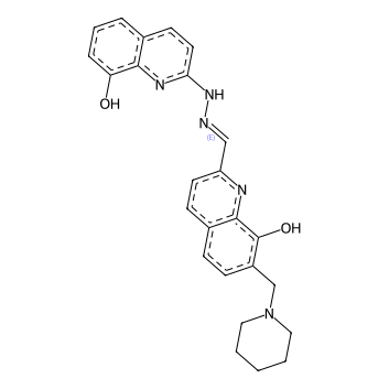 Oc1cccc2ccc(N/N=C/c3ccc4ccc(CN5CCCCC5)c(O)c4n3)nc12